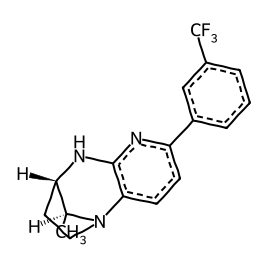 C[C@H]1[C@@H]2CCN1c1ccc(-c3cccc(C(F)(F)F)c3)nc1N2